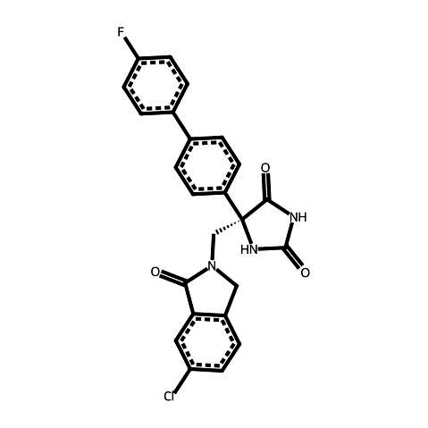 O=C1NC(=O)[C@](CN2Cc3ccc(Cl)cc3C2=O)(c2ccc(-c3ccc(F)cc3)cc2)N1